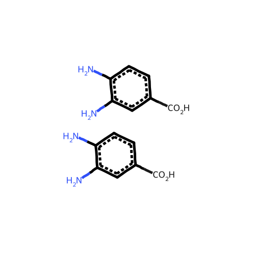 Nc1ccc(C(=O)O)cc1N.Nc1ccc(C(=O)O)cc1N